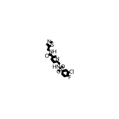 O=C(NCc1cncs1)c1ccc(CNS(=O)(=O)c2ccc(F)c(Cl)c2)nc1